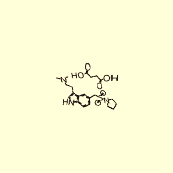 CN(C)CCc1c[nH]c2ccc(CS(=O)(=O)N3CCCC3)cc12.O=C(O)CCC(=O)O